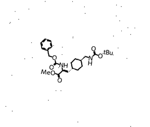 COC(=O)C(=C[C@H]1CC[C@H](CNC(=O)OC(C)(C)C)CC1)NC(=O)OCc1ccccc1